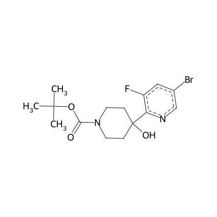 CC(C)(C)OC(=O)N1CCC(O)(c2ncc(Br)cc2F)CC1